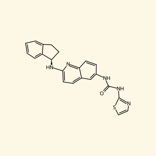 O=C(Nc1ccc2nc(N[C@@H]3CCc4ccccc43)ccc2c1)Nc1nccs1